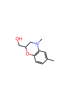 Cc1ccc2c(c1)N(C)CC(CO)O2